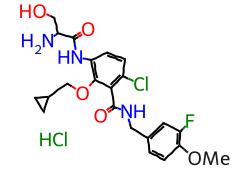 COc1ccc(CNC(=O)c2c(Cl)ccc(NC(=O)C(N)CO)c2OCC2CC2)cc1F.Cl